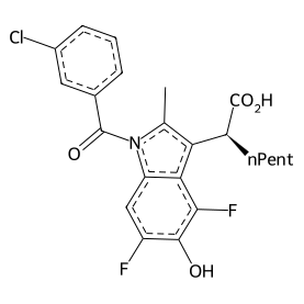 CCCCC[C@H](C(=O)O)c1c(C)n(C(=O)c2cccc(Cl)c2)c2cc(F)c(O)c(F)c12